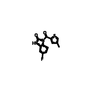 Cc1csc(C(=O)n2c(=O)[nH]c3cc(F)ccc32)c1